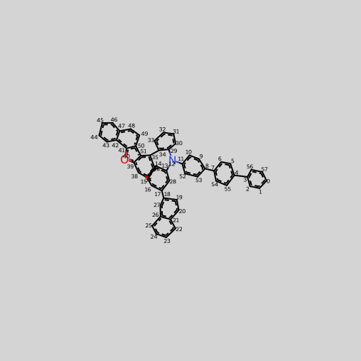 c1ccc(-c2ccc(-c3ccc(N(c4cccc(-c5ccc6ccccc6c5)c4)c4ccccc4-c4cccc5oc6c7ccccc7ccc6c45)cc3)cc2)cc1